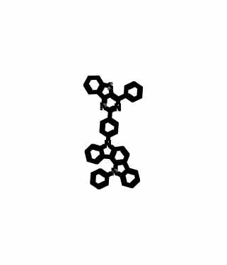 C1=Cc2c(sc3c(-c4ccccc4)nc(-c4ccc(-n5c6ccccc6c6c5ccc5c7ccccc7n(-c7ccccc7)c56)cc4)nc23)CC1